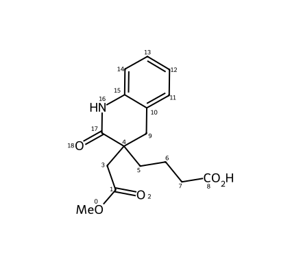 COC(=O)CC1(CCCC(=O)O)Cc2ccccc2NC1=O